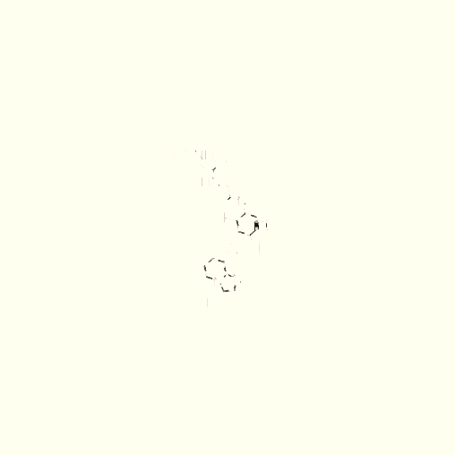 Cc1nc2c(OCc3c(Cl)ccc(N(C)C(=O)CNC(=O)CNC(C)C)c3Cl)cccn2c1Br.Cl.Cl